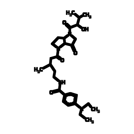 CCN(CC)c1ccc(C(=O)NCCC(C)CC(=O)N2CCC3C2C(=O)CN3C(=O)C(O)C(C)C)cc1